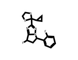 Fc1ccccc1C1CC(F)c2nc(C3(C4CC4)SCCS3)nn21